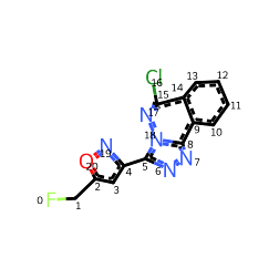 FCc1cc(-c2nnc3c4ccccc4c(Cl)nn23)no1